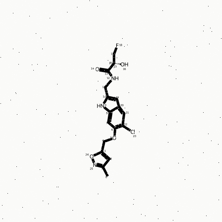 Cc1cc(COc2cc3[nH]c(CNC(=O)[C@@H](O)CF)cc3cc2Cl)on1